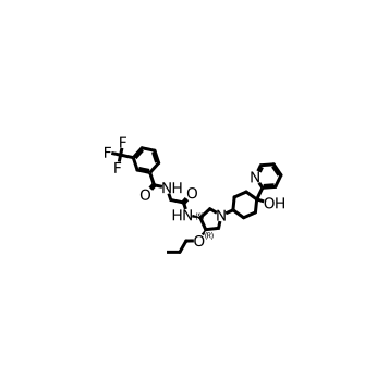 CCCO[C@@H]1CN(C2CCC(O)(c3ccccn3)CC2)C[C@@H]1NC(=O)CNC(=O)c1cccc(C(F)(F)F)c1